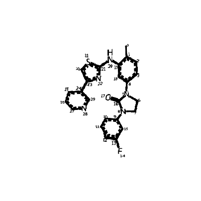 Cc1ccc(N2CCN(c3cccc(F)c3)C2=O)cc1Nc1nc(-c2cccnc2)cs1